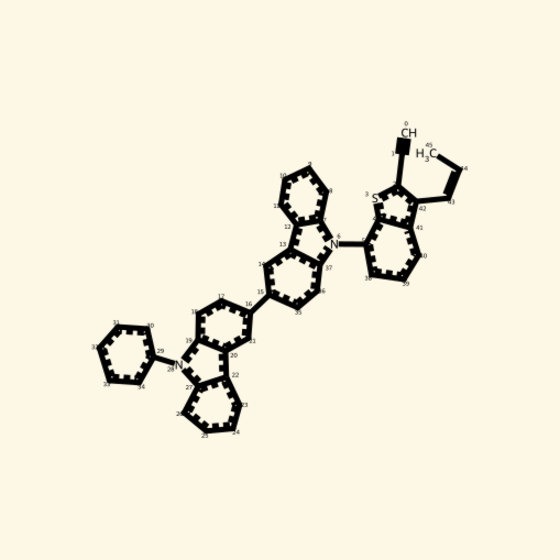 C#Cc1sc2c(-n3c4ccccc4c4cc(-c5ccc6c(c5)c5ccccc5n6-c5ccccc5)ccc43)cccc2c1/C=C\C